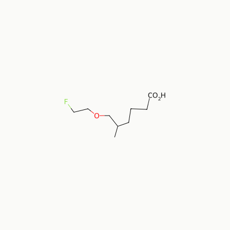 CC(CCCC(=O)O)COCCF